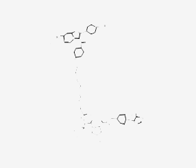 COc1ccc2c(C(=O)c3ccc(OCCOCCOCCOCC(=O)N[C@H](C(=O)N4C[C@H](O)C[C@H]4C(=O)NCc4ccc(-c5scnc5C)cc4)C(C)(C)C)cc3)c(-c3ccc(O)cc3)sc2c1